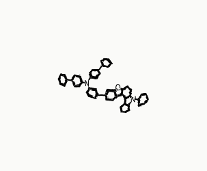 c1ccc(-c2ccc(N(c3ccc(-c4ccccc4)cc3)c3cccc(-c4ccc5c(c4)oc4ccc6c(c7ccccc7n6-c6ccccc6)c45)c3)cc2)cc1